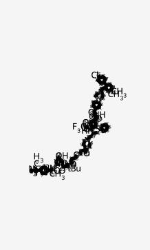 Cc1ncsc1-c1ccc([C@H](C)NC(=O)[C@@H]2C[C@@H](O)CN2C(=O)[C@@H](NC(=O)CCOCCC(=O)N2CCN(CC[C@H](CSc3ccccc3)Nc3ccc(S(=O)(=O)NC(=O)c4ccc(N5CCN(CC6=C(c7ccc(Cl)cc7)CCC(C)(C)C6)CC5)cc4)cc3S(=O)(=O)C(F)(F)F)CC2)C(C)(C)C)cc1